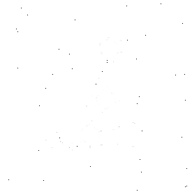 C[C@@H]1Cc2cc(OCc3ccccc3)ccc2[C@@H](c2c(F)cc(NN3CCC3)cc2F)N1CC(F)(F)F